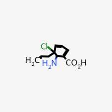 C=CCC1(Cl)C=CC=C(C(=O)O)C1N